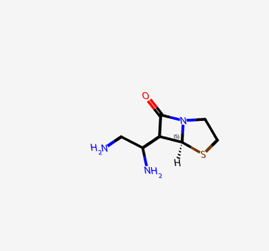 NCC(N)C1C(=O)N2CCS[C@@H]12